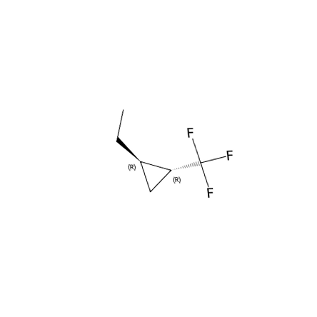 CC[C@@H]1C[C@H]1C(F)(F)F